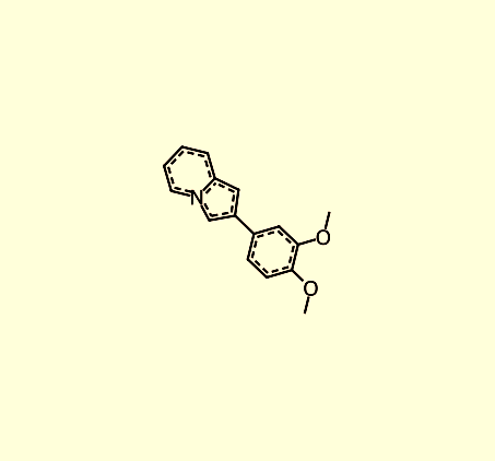 COc1ccc(-c2cc3ccccn3c2)cc1OC